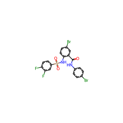 O=C(Nc1ccc(Br)cc1)c1cc(Br)ccc1NS(=O)(=O)c1ccc(F)c(F)c1